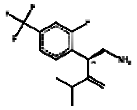 C=C(C(C)C)[C@H](CN)c1ccc(C(F)(F)F)cc1F